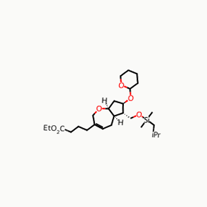 CCOC(=O)CCCC1=CC[C@@H]2[C@@H](CO[Si](C)(C)CC(C)C)[C@H](OC3CCCCO3)C[C@@H]2OC1